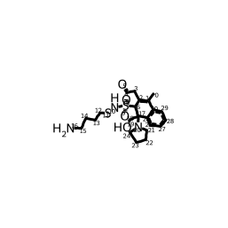 CC1=C(CC=O)C(S(=O)(=O)NSCCCCN)C(CO)(N2CCCC2)c2ccccc21